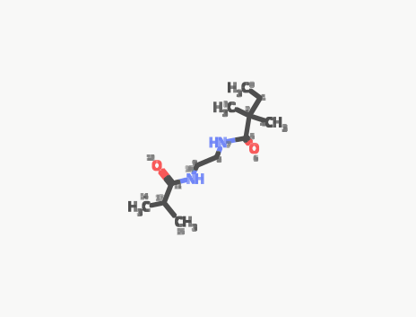 CCC(C)(C)C(=O)NCCNC(=O)C(C)C